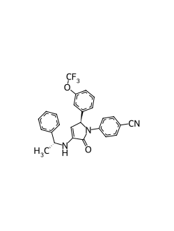 C[C@@H](NC1=C[C@@H](c2cccc(OC(F)(F)F)c2)N(c2ccc(C#N)cc2)C1=O)c1ccccc1